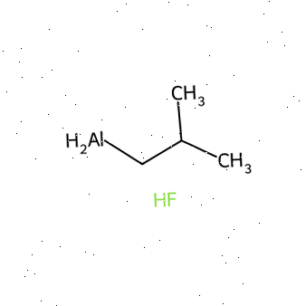 CC(C)[CH2][AlH2].F